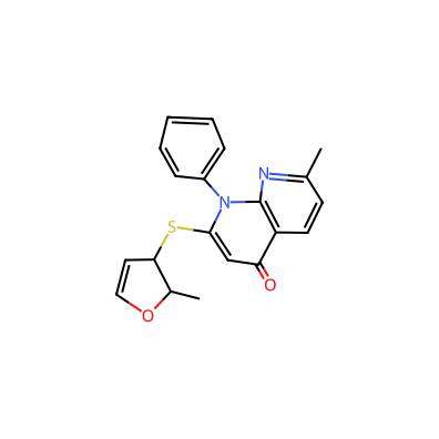 Cc1ccc2c(=O)cc(SC3C=COC3C)n(-c3ccccc3)c2n1